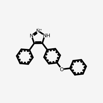 c1ccc(Oc2ccc(C3=C(c4ccccc4)N=[N+]N3)cc2)cc1